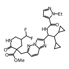 CCn1nccc1C(=O)NC(c1cn2nc(CC3(C(=O)OC)CC(C(F)F)CNC3=O)ccc2n1)C(C1CC1)C1CC1